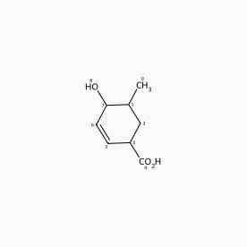 CC1CC(C(=O)O)C=CC1O